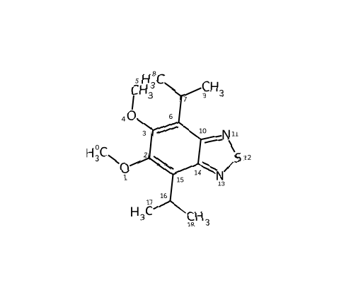 COc1c(OC)c(C(C)C)c2nsnc2c1C(C)C